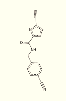 C#Cc1nc(C(=O)NCc2ccc(C#N)cc2)cs1